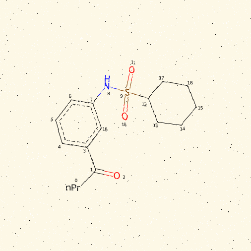 CCCC(=O)c1cccc(NS(=O)(=O)C2CCCCC2)c1